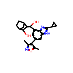 Cc1noc(C)c1-c1cc(C(O)C2C3CCC(C3)C2O)c2nc(C3CC3)[nH]c2c1